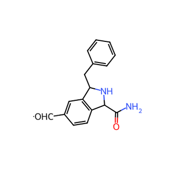 NC(=O)C1NC(Cc2ccccc2)c2cc([C]=O)ccc21